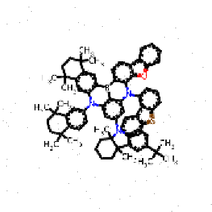 CC(C)(C)c1ccc2c(c1)C1(C)CCCCC1(C)N2c1cc2c3c(c1)N(c1cccc4sc5ccccc5c14)c1c(ccc4c1oc1ccccc14)B3c1cc3c(cc1N2c1ccc2c(c1)C(C)(C)CCC2(C)C)C(C)(C)CCC3(C)C